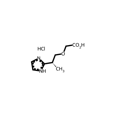 C[C@@H](COCC(=O)O)c1ncc[nH]1.Cl